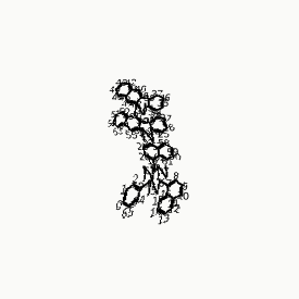 c1ccc(-c2nc(-c3cccc4ccccc34)nc(-c3ccc(-n4c5ccccc5c5c(-n6c7ccccc7c7cc8ccccc8cc76)c6ccccc6cc54)c4ccccc34)n2)cc1